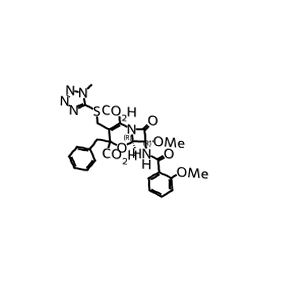 COc1ccccc1C(=O)N[C@]1(OC)C(=O)N2C(C(=O)O)=C(CSc3nnnn3C)C(Cc3ccccc3)(C(=O)O)O[C@@H]21